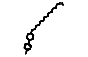 CCCCCCCCCCCCCCC1CCC(c2ccc(F)cc2)CC1